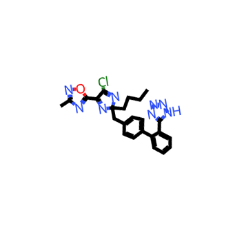 CCCCC1(Cc2ccc(-c3ccccc3-c3nnn[nH]3)cc2)N=C(Cl)C(c2nc(C)no2)=N1